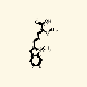 CO/C(=C\C=C\c1cc2ccccc2n1C)C(=O)O